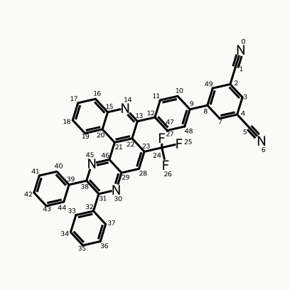 N#Cc1cc(C#N)cc(-c2ccc(-c3nc4ccccc4c4c3c(C(F)(F)F)cc3nc(-c5ccccc5)c(-c5ccccc5)nc34)cc2)c1